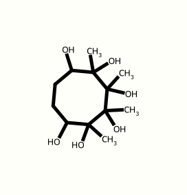 CC1(O)C(O)CCC(O)C(C)(O)C(C)(O)C1(C)O